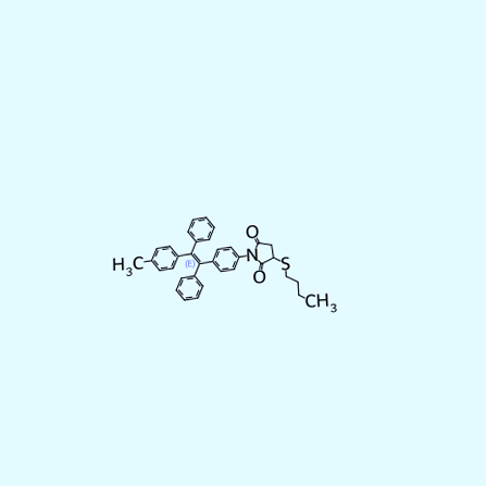 CCCCSC1CC(=O)N(c2ccc(/C(=C(\c3ccccc3)c3ccc(C)cc3)c3ccccc3)cc2)C1=O